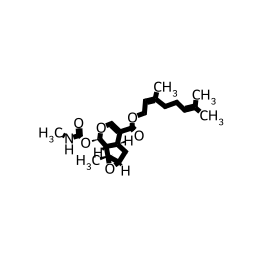 CNC(=O)O[C@@H]1OC=C(C(=O)OCC=C(C)CCC=C(C)C)[C@H]2C[C@@H]3O[C@]3(C)[C@H]12